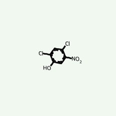 O=[N+]([O-])c1cc(O)c(Cl)cc1Cl